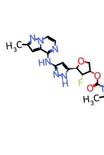 Cc1cc2c(Nc3cc([C@H]4OC[C@@H](OC(=O)NC5(C)CC5)[C@@H]4F)[nH]n3)nccn2n1